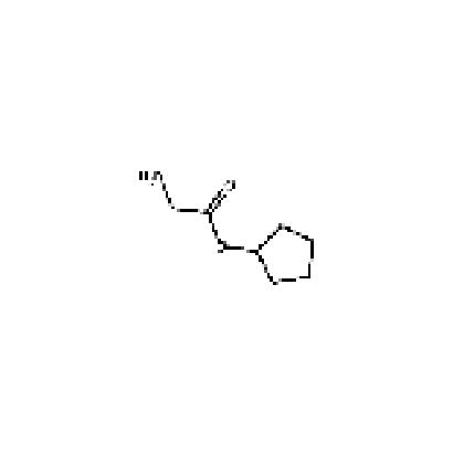 NCC(=O)OC1CCCC1